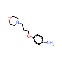 Nc1ccc(OCCCN2CCOCC2)cc1